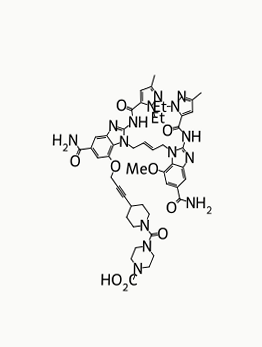 CCn1nc(C)cc1C(=O)Nc1nc2cc(C(N)=O)cc(OC)c2n1CC=CCn1c(NC(=O)c2cc(C)nn2CC)nc2cc(C(N)=O)cc(OCC#CC3CCN(C(=O)N4CCN(C(=O)O)CC4)CC3)c21